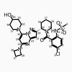 CS(=O)(=O)Nc1ccc(Cl)cc1C(=O)N1CCCC[C@H]1c1cc2nc(N3CCC3)cc(N3CCC(O)CC3)n2n1